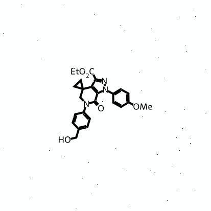 CCOC(=O)c1nn(-c2ccc(OC)cc2)c2c1C1(CC1)CN(c1ccc(CO)cc1)C2=O